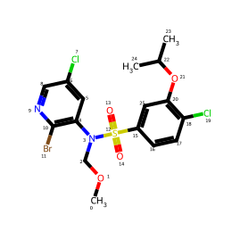 COCN(c1cc(Cl)cnc1Br)S(=O)(=O)c1ccc(Cl)c(OC(C)C)c1